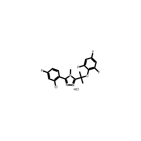 Cl.Cn1c(-c2ccc(F)cc2Cl)nnc1C(C)(C)Oc1c(F)cc(F)cc1F